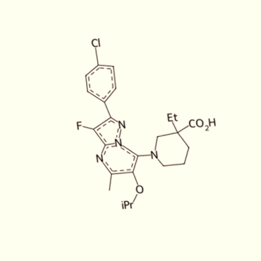 CCC1(C(=O)O)CCCN(c2c(OC(C)C)c(C)nc3c(F)c(-c4ccc(Cl)cc4)nn23)C1